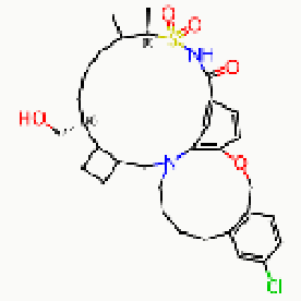 CC1CCC[C@@H](CO)C2CCC2CN2CCCCc3cc(Cl)ccc3COc3ccc(cc32)C(=O)NS(=O)(=O)[C@@H]1C